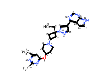 Cc1cc(OC2CCN([C@H]3C[C@](CC#N)(n4cc(-c5ncnc6[nH]ccc56)cn4)C3)CC2)nc(C(F)(F)F)n1